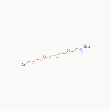 CC(=O)COCCOCCOCCOCCNC(C)(C)C